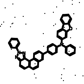 c1ccc(N(c2ccc(-c3ccc4c(ccc5ccc6nn(-c7ccccc7)nc6c54)c3)cc2)c2ccc3c(c2)oc2ccccc23)cc1